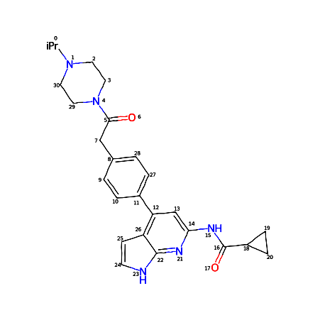 CC(C)N1CCN(C(=O)Cc2ccc(-c3cc(NC(=O)C4CC4)nc4[nH]ccc34)cc2)CC1